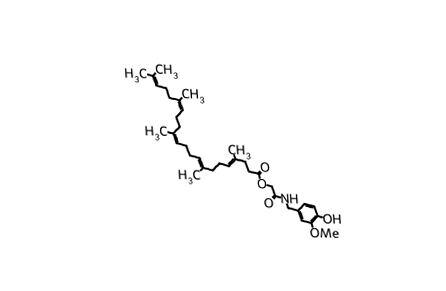 COc1cc(CNC(=O)COC(=O)CCC(C)=CCCC(C)=CCCC=C(C)CCC=C(C)CCC=C(C)C)ccc1O